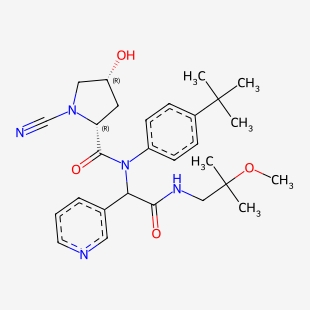 COC(C)(C)CNC(=O)C(c1cccnc1)N(C(=O)[C@H]1C[C@@H](O)CN1C#N)c1ccc(C(C)(C)C)cc1